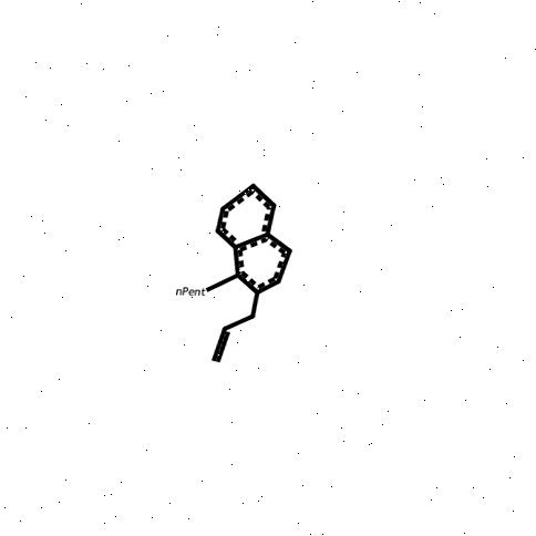 C=CCc1ccc2ccccc2c1CCCCC